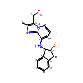 Cc1nc2c(NC3c4ccccc4CC3O)cccn2c1CO